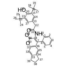 Cc1ccccc1-c1c(NC(=O)Cc2cc(C(C)(C)C)c(O)c(C(C)(C)C)c2)c(=O)oc2cc3c(cc12)CCC3